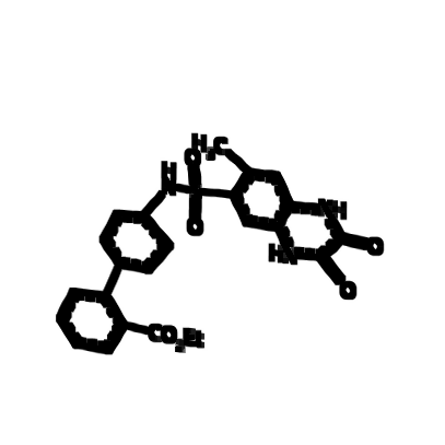 CCOC(=O)c1ccccc1-c1ccc(NS(=O)(=O)c2cc3[nH]c(=O)c(=O)[nH]c3cc2C)cc1